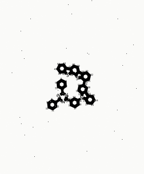 c1ccc(-c2nc(-c3ccccc3)nc(-c3cccc(-n4c5ccccc5c5cc(-c6cccc7c6sc6c7ccc7c8ccccc8sc76)ccc54)c3)n2)cc1